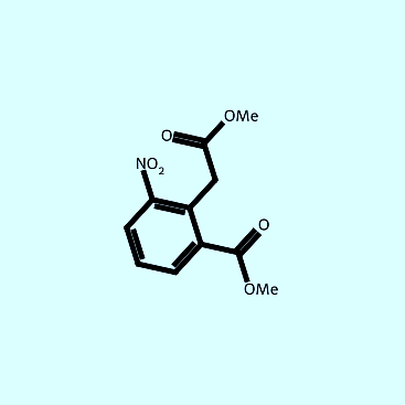 COC(=O)Cc1c(C(=O)OC)cccc1[N+](=O)[O-]